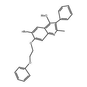 CCCCc1cc2c(OC)c(-c3ccccc3)c(C)nc2cc1OCCOc1ccccc1